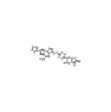 Nc1nc2c(cnn2CCN2CCN(c3cc4c(cc3F)NC(=O)C4)CC2)c2nc(-c3ccco3)nn12